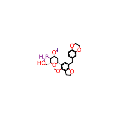 COc1c([C@H]2C[C@@H](OI)[C@H](P)[C@@H](CO)O2)cc(Cc2ccc3c(c2)OCCO3)c2c1CCO2